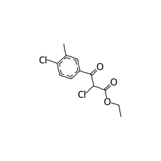 CCOC(=O)C(Cl)C(=O)c1ccc(Cl)c(C)c1